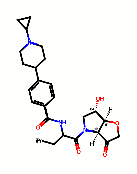 CC(C)CC(NC(=O)c1ccc(C2CCN(C3CC3)CC2)cc1)C(=O)N1C[C@H](O)[C@H]2OCC(=O)[C@H]21